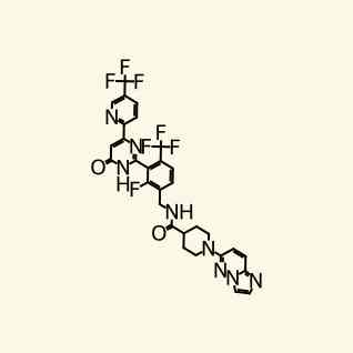 O=C(NCc1ccc(C(F)(F)F)c(-c2nc(-c3ccc(C(F)(F)F)cn3)cc(=O)[nH]2)c1F)C1CCN(c2ccc3nccn3n2)CC1